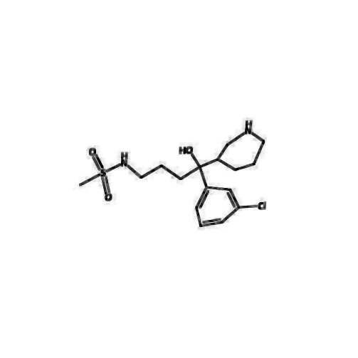 CS(=O)(=O)NCCCC(O)(c1cccc(Cl)c1)C1CCCNC1